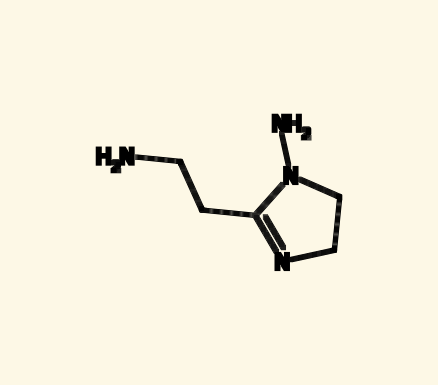 NCCC1=NCCN1N